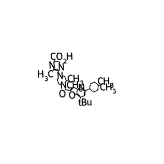 Cc1nc(C(=O)O)cnc1N1CCN(C(=O)c2cc3nc(C4CCC(C)(C)CC4)cc(C(C)(C)C)c3o2)C(C)(C)C1